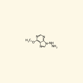 COc1ncnc2c1ncn2NN